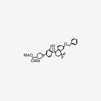 COC(OC)C1CCN(c2ccc(C3(O)CCC(F)(F)c4cc(OCc5ccccc5)ccc43)c(F)c2)CC1